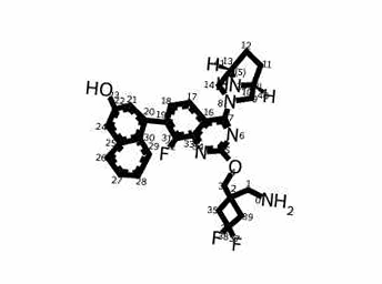 NCC1(COc2nc(N3C[C@H]4CC[C@@H](C3)N4)c3ccc(-c4cc(O)cc5ccccc45)c(F)c3n2)CC(F)(F)C1